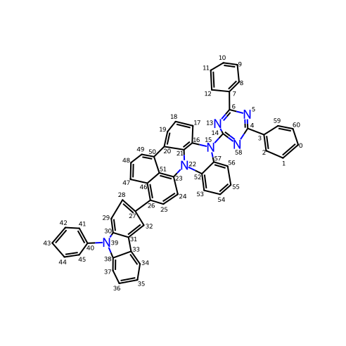 c1ccc(-c2nc(-c3ccccc3)nc(-n3c4cccc5c4-n(c4ccc(-c6ccc7c(c6)c6ccccc6n7-c6ccccc6)c6cccc5c64)c4ccccc43)n2)cc1